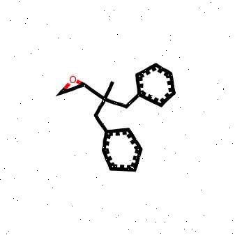 CC(Cc1ccccc1)(Cc1ccccc1)C1CO1